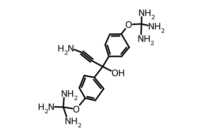 NC#CC(O)(c1ccc(OC(N)(N)N)cc1)c1ccc(OC(N)(N)N)cc1